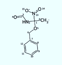 [CH2]C(NC=O)(OCc1ccccc1)[N+](=O)[O-]